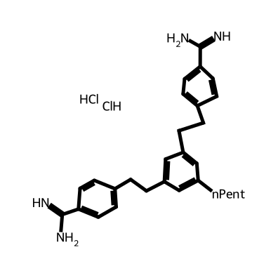 CCCCCc1cc(CCc2ccc(C(=N)N)cc2)cc(CCc2ccc(C(=N)N)cc2)c1.Cl.Cl